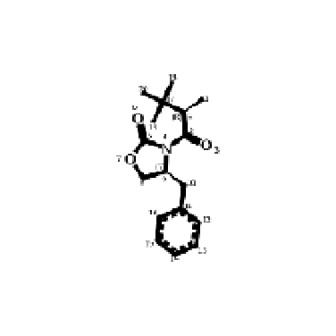 C[C@@H](C(=O)N1C(=O)OC[C@@H]1Cc1ccccc1)C(C)(C)C